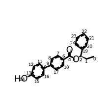 CC[C@@H](OC(=O)c1ccc(-c2ccc(O)cc2)cc1)c1ccccc1